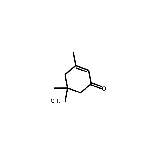 C.CC1=CC(=O)CC(C)(C)C1